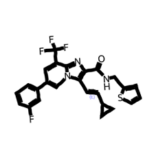 O=C(NCc1cccs1)c1nc2c(C(F)(F)F)cc(-c3cccc(F)c3)cn2c1/C=C/C1CC1